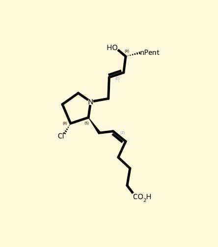 CCCCC[C@@H](O)/C=C/CN1CC[C@@H](Cl)[C@@H]1C/C=C\CCCC(=O)O